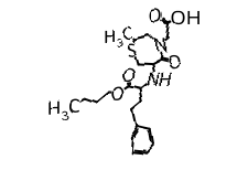 CCCCOC(=O)C(CCc1ccccc1)NC1CSC(C)CN(CC(=O)O)C1=O